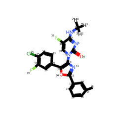 [2H]C([2H])([2H])Nc1nc(=O)n(-c2nc(-c3cccc(C)c3)oc2-c2ccc(Cl)c(F)c2)cc1F